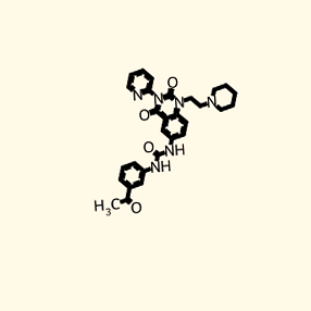 CC(=O)c1cccc(NC(=O)Nc2ccc3c(c2)c(=O)n(-c2ccccn2)c(=O)n3CCN2CCCCC2)c1